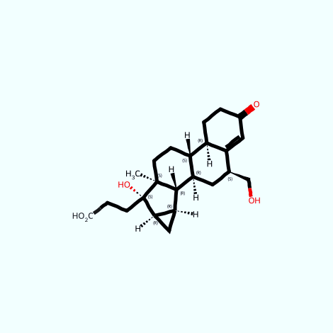 C[C@]12CC[C@H]3[C@@H](C[C@H](CO)C4=CC(=O)CC[C@@H]43)[C@@H]1[C@H]1C[C@H]1[C@@]2(O)CCC(=O)O